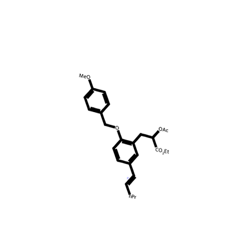 CCC/C=C/c1ccc(OCc2ccc(OC)cc2)c(CC(OC(C)=O)C(=O)OCC)c1